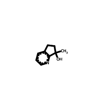 CC1(O)CCc2cccnc21